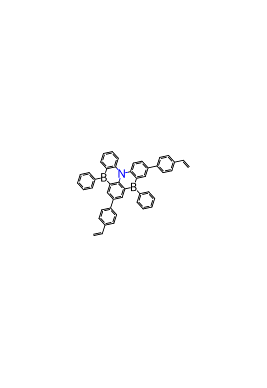 C=Cc1ccc(-c2ccc3c(c2)B(c2ccccc2)c2cc(-c4ccc(C=C)cc4)cc4c2N3c2ccccc2B4c2ccccc2)cc1